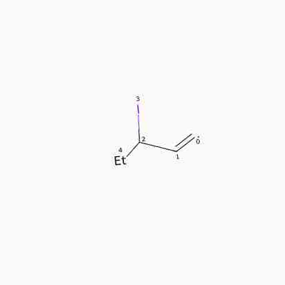 [CH]=CC(I)CC